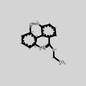 COc1cccc(C(=O)OCC(Cl)(Cl)Cl)c1-c1c(Br)cccc1[N+](=O)[O-]